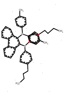 CCCCc1ccc(N(c2ccc(CCCC)cc2)c2c(N(c3ccc(C)cc3)c3ccc(C)cc3)c3ccccc3c3ccccc23)cc1